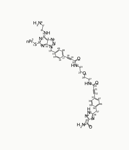 CCCSc1nc(NCCN)c2nnn(Cc3ccc(C#CC(=O)NCCOCCNC(=O)C#Cc4ccc(Cc5nc(C(N)=O)n[nH]5)cc4)cc3)c2n1